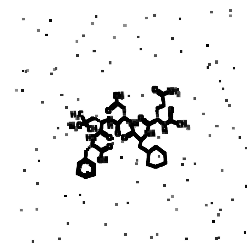 CC(=O)N[C@@H](CCC(N)=O)C(=O)N[C@@H](CC1CCCCC1)C(=O)N[C@@H](CC(=O)O)C(=O)N[C@@H](CC(C)(C)C)C(=O)N[C@@H](Cc1ccccc1)C(=O)O